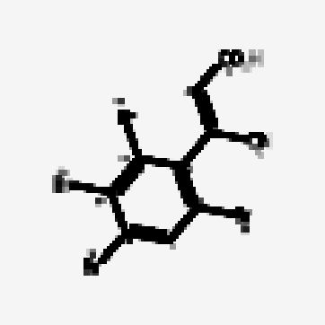 N#CC(=CC(=O)O)c1c(Br)cc(Br)c(Br)c1Br